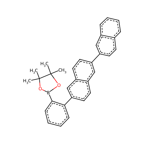 CC1(C)OB(c2ccccc2-c2ccc3cc(-c4ccc5ccccc5c4)ccc3c2)OC1(C)C